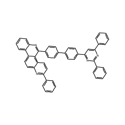 c1ccc(-c2cc(-c3ccc(-c4ccc(-c5nc6ccccc6c6ccc7nc(-c8ccccc8)ccc7c56)cc4)cc3)nc(-c3ccccc3)n2)cc1